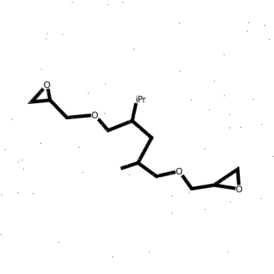 CC(COCC1CO1)CC(COCC1CO1)C(C)C